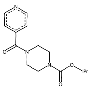 CC(C)OC(=O)N1CCN(C(=O)c2ccncc2)CC1